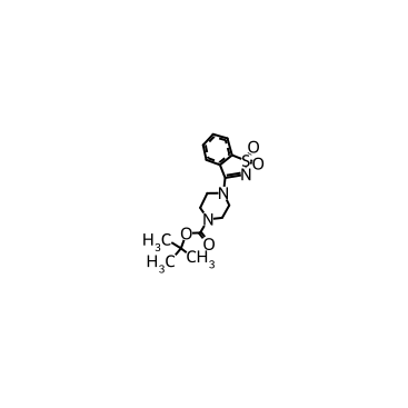 CC(C)(C)OC(=O)N1CCN(C2=NS(=O)(=O)c3ccccc32)CC1